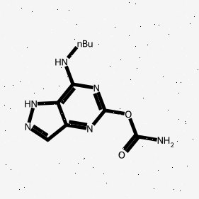 CCCCNc1nc(OC(N)=O)nc2cn[nH]c12